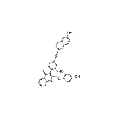 COc1ccc2cc(C#Cc3ccc(-n4c(/C=C/c5ccc(O)cc5O)nc5ccccc5c4=O)c(C)c3)ccc2c1